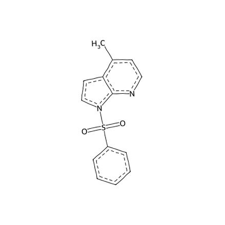 Cc1ccnc2c1ccn2S(=O)(=O)c1ccccc1